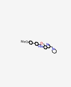 COc1ccc(-c2ccc(C(=O)Nc3ccc4cc(CN5CCCCCC5)cnc4c3C)cc2)cc1